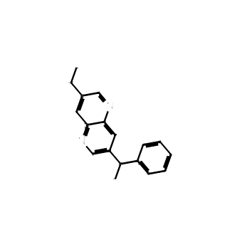 CCc1cnc2cc(C(C)c3ccccc3)cnc2c1